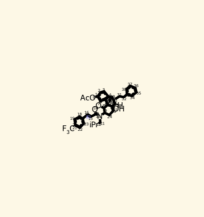 CC(=O)Oc1ccc2c3c1OC1C(N(CC(C)C)C(=O)/C=C/c4ccc(C(F)(F)F)cc4)CC[C@@]4(O)[C@@H](C2)N(CCc2ccccc2)CC[C@]314